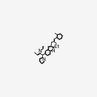 C=CN(C)/C(=C\C)C(c1ccc2nc(CC)c(C/C(C)=C/c3ccccc3C)cc2c1)c1ccccn1